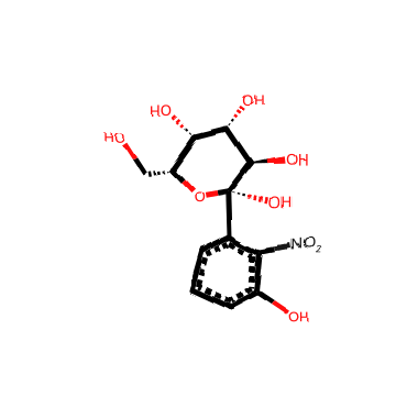 O=[N+]([O-])c1c(O)cccc1[C@@]1(O)O[C@H](CO)[C@H](O)[C@H](O)[C@H]1O